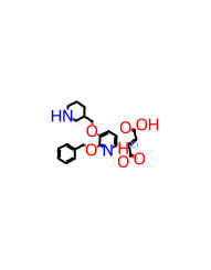 O=C(O)/C=C/C(=O)O.c1ccc(COc2ncccc2OCC2CCCNC2)cc1